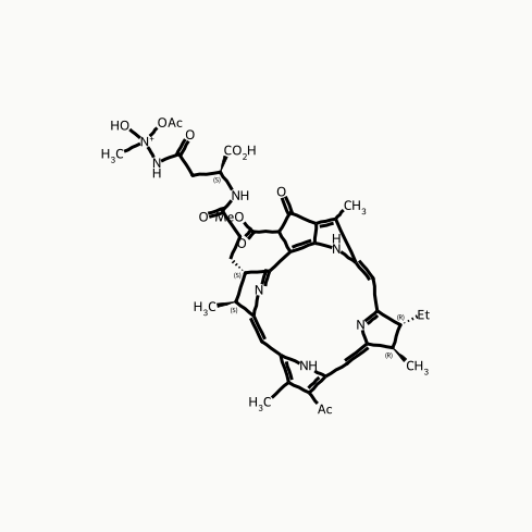 CC[C@H]1c2cc3[nH]c4c(c3C)C(=O)C(C(=O)OC)c4c3nc(cc4[nH]c(cc(n2)[C@@H]1C)c(C(C)=O)c4C)[C@@H](C)[C@@H]3CCC(=O)N[C@@H](CC(=O)N[N+](C)(O)OC(C)=O)C(=O)O